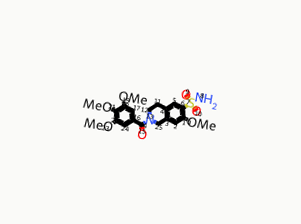 COc1cc2c(cc1S(N)(=O)=O)CCN(C(=O)c1cc(OC)c(OC)c(OC)c1)C2